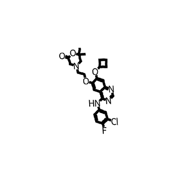 CC1(C)CN(CCOc2cc3c(Nc4ccc(F)c(Cl)c4)ncnc3cc2OC2CCC2)CC(=O)O1